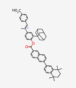 C/C(=C\c1ccc(C(=O)O)cc1)c1ccc(OC(=O)c2ccc3cc(-c4ccc5c(c4)C(C)(C)CCC5(C)C)ccc3c2)c(C23CC4CC(CC(C4)C2)C3)c1